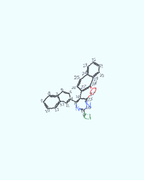 Clc1nc(-c2ccc3ccccc3c2)c2c(n1)oc1c3ccccc3ccc12